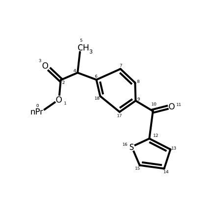 [CH2]CCOC(=O)C(C)c1ccc(C(=O)c2cccs2)cc1